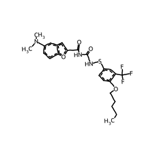 CCCCCOc1ccc(SNC(=O)NC(=O)c2cc3cc(N(C)C)ccc3o2)cc1C(F)(F)F